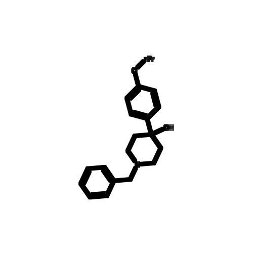 CCCOc1ccc(C2(O)CCN(Cc3ccccc3)CC2)cc1